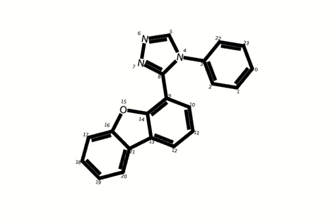 c1ccc(-n2cnnc2-c2cccc3c2oc2ccccc23)cc1